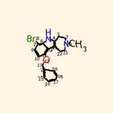 CN1CCc2[nH]c3c(Br)ccc(OCc4ccccc4)c3c2CC1